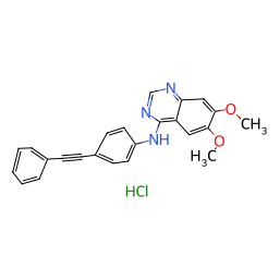 COc1cc2ncnc(Nc3ccc(C#Cc4ccccc4)cc3)c2cc1OC.Cl